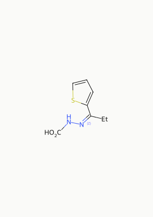 CC/C(=N/NC(=O)O)c1cccs1